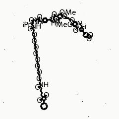 COc1cc2c(cc1OCCCOc1cc3c(cc1OC)C(=O)N1C=C(c4ccc5c(c4)OCO5)C[C@H]1C=N3)N=C[C@@H]1CC(c3ccc(NC(=O)[C@H](C)NC(=O)C(NC(=O)CCOCCOCCOCCOCCOCCOCCOCCOCCNC(=O)CCCCC4C(=O)CC(C5=C/C=C\C=C/C=C\5)C4=O)C(C)C)cc3)=CN1C2=O